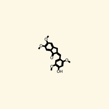 COc1cc(C=C2Cc3cc(OC)c(OC)cc3C2=O)c(OC)cc1O